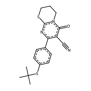 CC(C)(C)Sc1ccc(-c2nc3n(c(=O)c2C#N)CCCS3)cc1